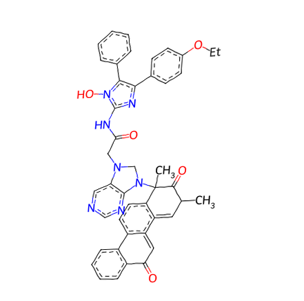 CCOc1ccc(-c2nc(NC(=O)CN3CN(C4(C)C(=O)C(C)C=c5c4ccc4c5=CC(=O)c5ccccc5-4)c4ncncc43)n(O)c2-c2ccccc2)cc1